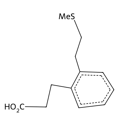 CSCCc1ccccc1CCC(=O)O